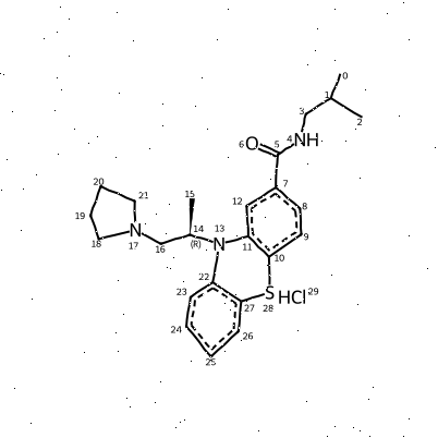 CC(C)CNC(=O)c1ccc2c(c1)N([C@H](C)CN1CCCC1)c1ccccc1S2.Cl